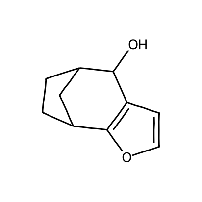 OC1c2ccoc2C2CCC1C2